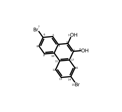 Oc1c(O)c2cc(Br)ccc2c2ccc(Br)cc12